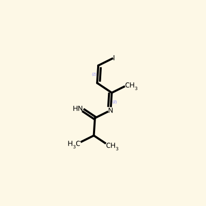 CC(/C=C\I)=N/C(=N)C(C)C